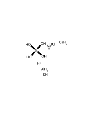 Cl.F.O[Si](O)(O)O.[AlH3].[CaH2].[KH].[NaH]